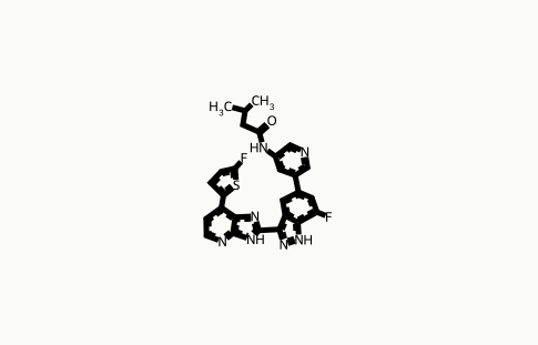 CC(C)CC(=O)Nc1cncc(-c2cc(F)c3[nH]nc(-c4nc5c(-c6ccc(F)s6)ccnc5[nH]4)c3c2)c1